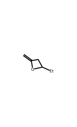 C=C1CC(CC)O1